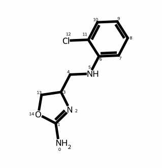 NC1=NC(CNc2ccccc2Cl)CO1